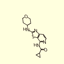 O=C(Nc1nccc2nc(NC3CCOCC3)sc12)C1CC1